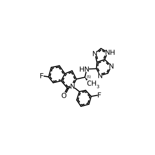 C[C@H](Nc1ncnc2[nH]cnc12)c1cc2ccc(F)cc2c(=O)n1-c1cccc(F)c1